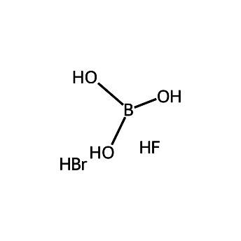 Br.F.OB(O)O